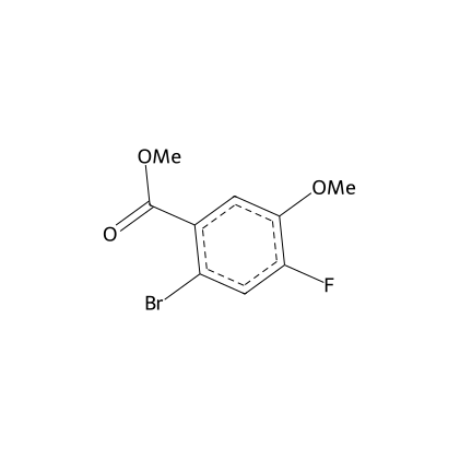 COC(=O)c1cc(OC)c(F)cc1Br